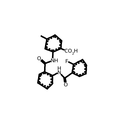 Cc1ccc(C(=O)O)c(NC(=O)c2ccccc2NC(=O)c2ccccc2F)c1